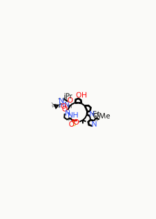 CCn1c(-c2cccnc2[C@H](C)OC)c2c3cc(ccc31)-c1cc(O)cc(c1)C[C@H](NC(=O)[C@H](C(C)C)N(C)C(=O)[C@H]1C[C@@H]1C)C(=O)N1CCC[C@@](C3=CS3)(N1)C(=O)OCC(C)(C)C2